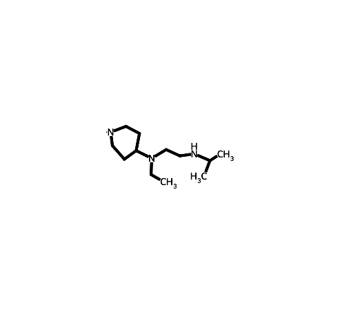 CCN(CCNC(C)C)C1CC[N]CC1